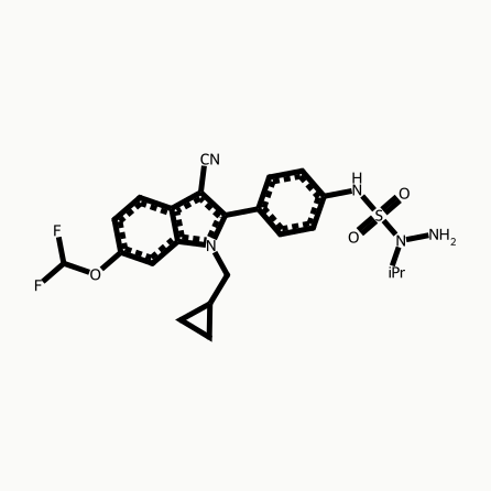 CC(C)N(N)S(=O)(=O)Nc1ccc(-c2c(C#N)c3ccc(OC(F)F)cc3n2CC2CC2)cc1